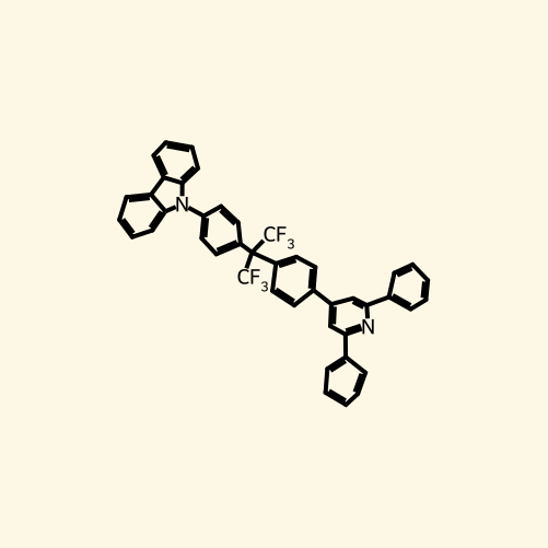 FC(F)(F)C(c1ccc(-c2cc(-c3ccccc3)nc(-c3ccccc3)c2)cc1)(c1ccc(-n2c3ccccc3c3ccccc32)cc1)C(F)(F)F